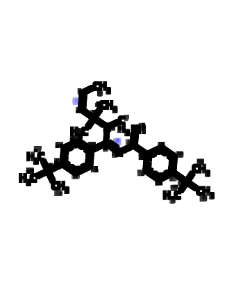 C/C=C\C(C)(C)N(C)/C(=N\C(=N)c1ccc(C(C)(C)C)cc1)c1ccc(C(C)(C)C)cc1